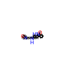 O=c1[nH]c2c(c3ccccc13)Cc1cc(NCCCCN3CCOCC3)ccc1-2